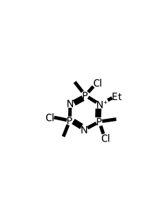 CC[N+]1=P(C)(Cl)N=P(C)(Cl)N=P1(C)Cl